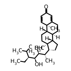 CC[C@@H](C(C)C)[C@H](O)[C@@H](O)[C@@H](C)[C@H]1CC[C@H]2[C@@H]3CCC4=CC(=O)C=C[C@]4(C)[C@H]3CC[C@]12C